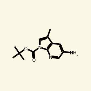 Cc1cn(C(=O)OC(C)(C)C)c2ncc(N)cc12